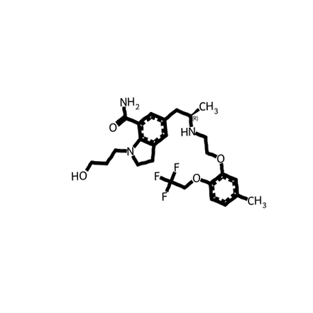 Cc1ccc(OCC(F)(F)F)c(OCCN[C@H](C)Cc2cc3c(c(C(N)=O)c2)N(CCCO)CC3)c1